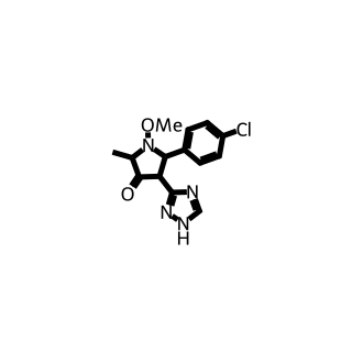 CON1C(C)C(=O)C(c2nc[nH]n2)C1c1ccc(Cl)cc1